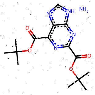 CC(C)(C)OC(=O)c1nc(C(=O)OC(C)(C)C)c2nc[nH]c2n1.N